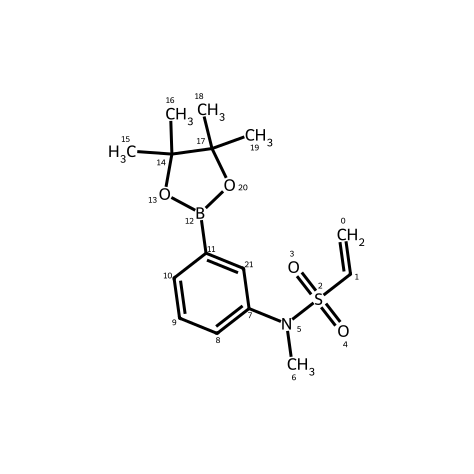 C=CS(=O)(=O)N(C)c1cccc(B2OC(C)(C)C(C)(C)O2)c1